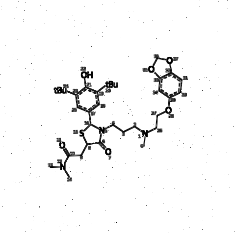 CN(CCCN1C(=O)C(CC(=O)N(C)C)SC1c1cc(C(C)(C)C)c(O)c(C(C)(C)C)c1)CCOc1ccc2c(c1)OCO2